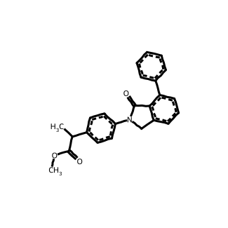 COC(=O)C(C)c1ccc(N2Cc3cccc(-c4ccccc4)c3C2=O)cc1